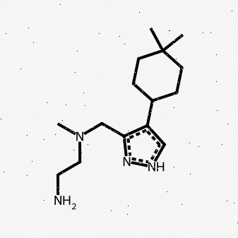 CN(CCN)Cc1n[nH]cc1C1CCC(C)(C)CC1